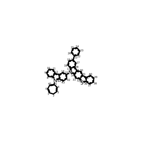 C1=CCC=CC(n2c3ccccc3c3cc(-n4c5ccc(-c6ccccc6)cc5c5cc6c(cc54)sc4ccccc46)ccc32)=C1